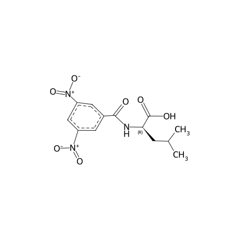 CC(C)C[C@@H](NC(=O)c1cc([N+](=O)[O-])cc([N+](=O)[O-])c1)C(=O)O